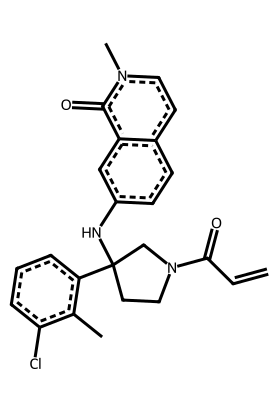 C=CC(=O)N1CCC(Nc2ccc3ccn(C)c(=O)c3c2)(c2cccc(Cl)c2C)C1